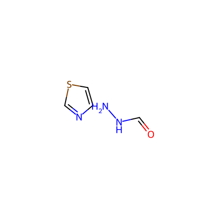 NNC=O.c1cscn1